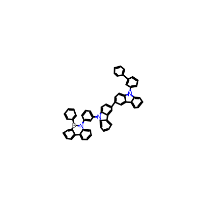 c1ccc(B2c3ccccc3-c3ccccc3N2c2cccc(-n3c4ccccc4c4cc(-c5ccc6c(c5)c5ccccc5n6-c5cccc(-c6ccccc6)c5)ccc43)c2)cc1